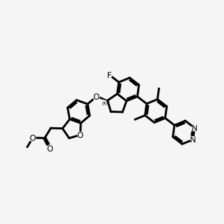 COC(=O)CC1COc2cc(O[C@@H]3CCc4c(-c5c(C)cc(-c6ccnnc6)cc5C)ccc(F)c43)ccc21